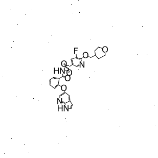 O=C(NS(=O)(=O)c1cnc(OCC2CCOCC2)c(F)c1)c1ccccc1Oc1cnc2[nH]ccc2c1